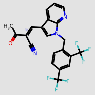 CC(=O)/C(C#N)=C/c1cn(Cc2ccc(C(F)(F)F)cc2C(F)(F)F)c2ncccc12